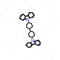 c1ccc2c(c1)c1ccccc1n2C1CCC(C2CCC(n3c4ccccc4c4ccccc43)CC2)CC1